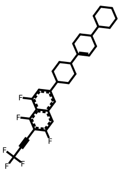 Fc1cc2cc(C3CCC(C4=CCC(C5CCCCC5)CC4)CC3)cc(F)c2c(F)c1C#CC(F)(F)F